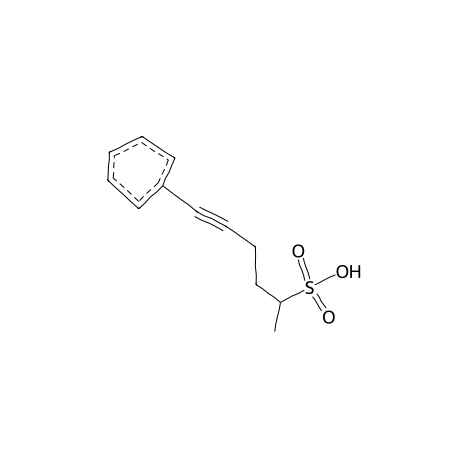 CC(CCC#Cc1ccccc1)S(=O)(=O)O